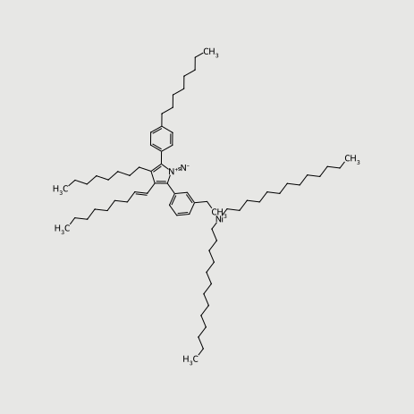 CCCCCCCC=CC1=C(c2cccc(CC)c2)[N+](=[N-])C(c2ccc(CCCCCCCC)cc2)=C1CCCCCCCC.CCCCCCCCCCCC[CH2][Ni][CH2]CCCCCCCCCCCC